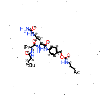 CC(=O)CCCNC(=O)OCc1ccc(NC(=O)[C@H](CCCNC(N)=O)NC(=O)[C@@H](NC(=O)CCC(C)(C)C)C(C)C)cc1